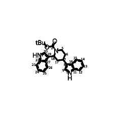 CC(C)(C)OC(=O)N1CCC(c2c[nH]c3ccccc23)CC1c1c[nH]c2ccccc12